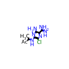 CC(=O)C(C)Nc1nc(N)c(C(=N)N)nc1Cl